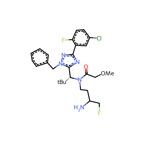 COCC(=O)N(CCC(N)CF)[C@@H](c1nc(-c2cc(Cl)ccc2F)nn1Cc1ccccc1)C(C)(C)C